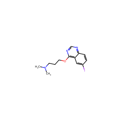 CN(C)CCCOc1ncnc2ccc(I)cc12